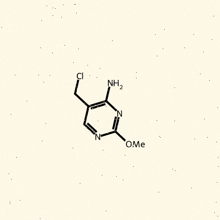 COc1ncc(CCl)c(N)n1